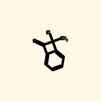 CC1(Cl)C(=O)c2ccccc21